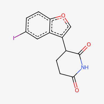 O=C1CCC(c2coc3ccc(I)cc23)C(=O)N1